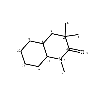 CN1C(=O)C(C)(C)CC2CCCCC21